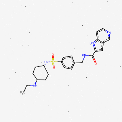 O=C(NCc1ccc(S(=O)(=O)N[C@H]2CC[C@H](NCC(F)(F)F)CC2)cc1)c1cc2cnccc2[nH]1